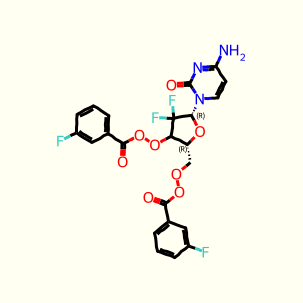 Nc1ccn([C@@H]2O[C@H](COOC(=O)c3cccc(F)c3)C(OOC(=O)c3cccc(F)c3)C2(F)F)c(=O)n1